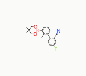 Cc1c(B2OCC(C)(C)CO2)cccc1-c1ccc(F)cc1C#N